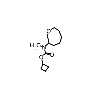 CN(C(=O)OC1CCC1)C1CCCCCOC1